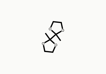 CC1(C2(C)OCCO2)OCCO1